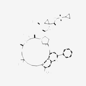 C=C[C@@H]1C[C@]1(NC(=O)[C@@H]1C[C@@H]2CN1C(=O)[C@H](C(C)(C)C)NC(=O)OCC(C)(C)CCCc1cc3c(cc(-c4ccccc4)nc3cc1OC)O2)C(=O)NS(=O)(=O)C1CC1